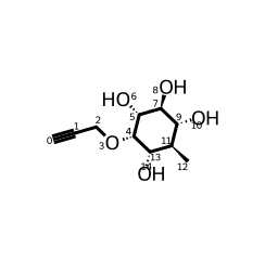 C#CCO[C@@H]1[C@H](O)[C@@H](O)[C@H](O)[C@@H](C)[C@@H]1O